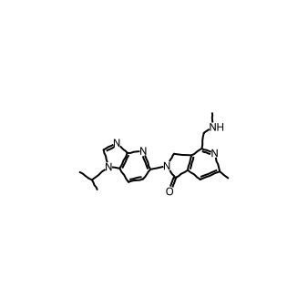 CNCc1nc(C)cc2c1CN(c1ccc3c(ncn3C(C)C)n1)C2=O